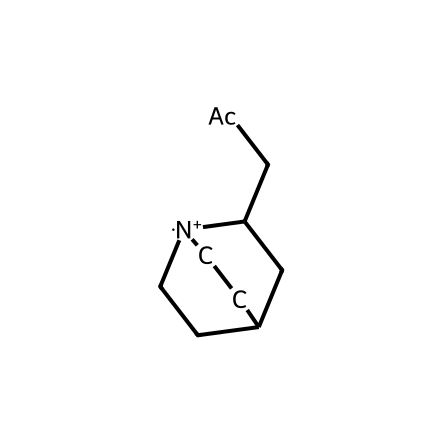 CC(=O)CC1CC2CC[N+]1CC2